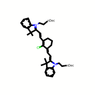 CCCCCCCCCCCCN1/C(=C/C=C2\CCCC(/C=C/C3=[N+](CCCCCCCCCCCC)c4ccccc4C3(C)C)=C2Cl)C(C)(C)c2ccccc21